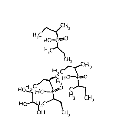 CCC(C)P(=O)(O)C(C)CC.CCC(C)P(=O)(O)C(C)CC.CCC(C)P(=O)(O)C(C)CC.OCC(O)CO